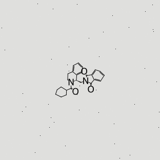 O=C1c2ccccc2C(=O)N1C[C@@H]1c2ccccc2CCN1C(=O)C1CCCCC1